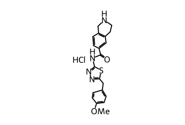 COc1ccc(Cc2nnc(NC(=O)c3ccc4c(c3)CCNC4)s2)cc1.Cl